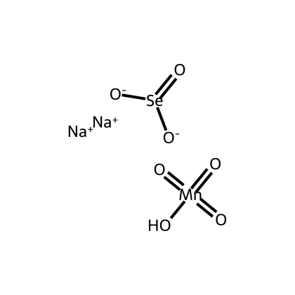 O=[Se]([O-])[O-].[Na+].[Na+].[O]=[Mn](=[O])(=[O])[OH]